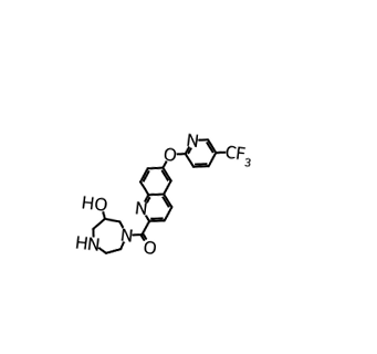 O=C(c1ccc2cc(Oc3ccc(C(F)(F)F)cn3)ccc2n1)N1CCNCC(O)C1